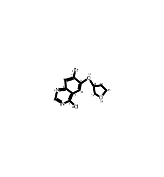 Clc1ncnc2cc(Br)c(OC3CCOC3)cc12